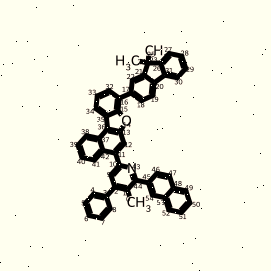 Cc1c(-c2ccccc2)cc(-c2cc3oc4c(-c5ccc6c(c5)C(C)(C)c5ccccc5-6)cccc4c3c3ccccc23)nc1-c1ccc2ccccc2c1